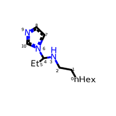 CCCCCCCCNC(CC)n1ccnc1